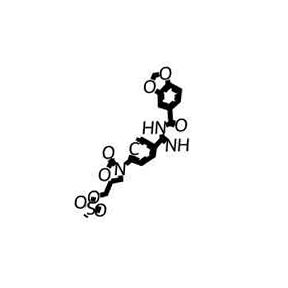 CS(=O)(=O)OCC1CN(c2ccc(C(=N)NC(=O)c3ccc4c(c3)OCO4)cc2)C(=O)O1